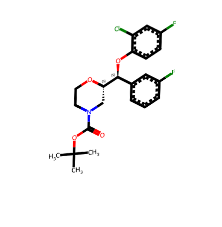 CC(C)(C)OC(=O)N1CCO[C@H]([C@@H](Oc2ccc(F)cc2Cl)c2cccc(F)c2)C1